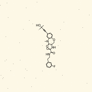 CN1C(=O)[C@@H](NC(=O)C(=O)NCCc2cccc(F)c2)COc2ccc(C#CC(C)(C)O)cc21